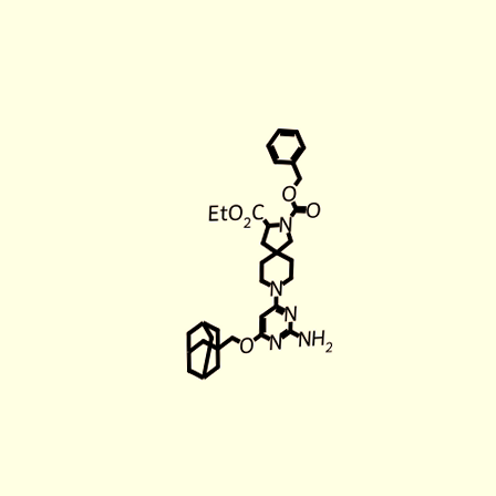 CCOC(=O)C1CC2(CCN(c3cc(OCC45CC6CC(CC(C6)C4)C5)nc(N)n3)CC2)CN1C(=O)OCc1ccccc1